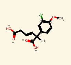 COc1ccc(C(C)(/C=C/CC(=O)O)C(=O)O)cc1Br